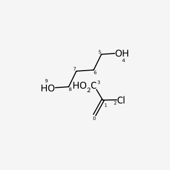 C=C(Cl)C(=O)O.OCCCCO